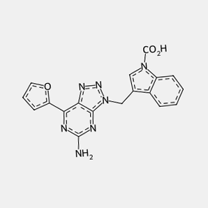 Nc1nc(-c2ccco2)c2nnn(Cc3cn(C(=O)O)c4ccccc34)c2n1